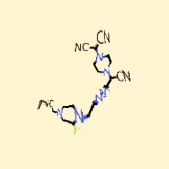 N#CCN1CCN(CC#[N+][N+]#CC(C#N)N2CCN(C(C#N)C#N)CC2)C(F)C1